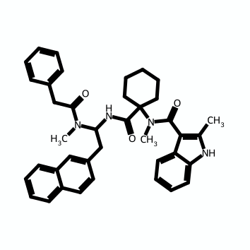 Cc1[nH]c2ccccc2c1C(=O)N(C)C1(C(=O)NC(Cc2ccc3ccccc3c2)N(C)C(=O)Cc2ccccc2)CCCCC1